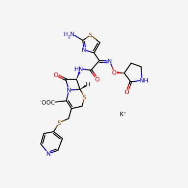 Nc1nc(/C(=N/O[C@H]2CCNC2=O)C(=O)N[C@@H]2C(=O)N3C(C(=O)[O-])=C(CSc4ccncc4)CS[C@@H]23)cs1.[K+]